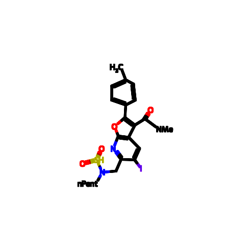 [CH2]CCCCN(Cc1nc2oc(-c3ccc(C)cc3)c(C(=O)NC)c2cc1I)[SH](=O)=O